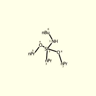 CCCCN[Si](CCC)(OCCC)OCCC